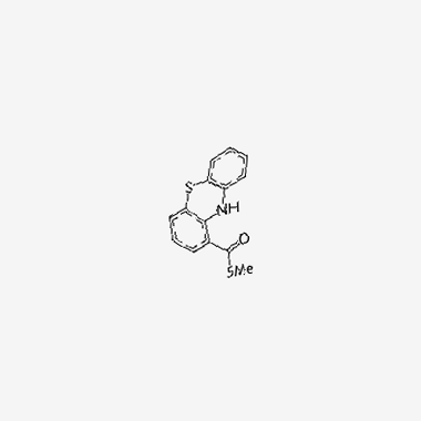 CSC(=O)c1cccc2c1Nc1ccccc1S2